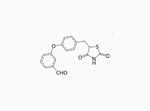 O=Cc1cccc(Oc2ccc(CC3SC(=O)NC3=O)cc2)c1